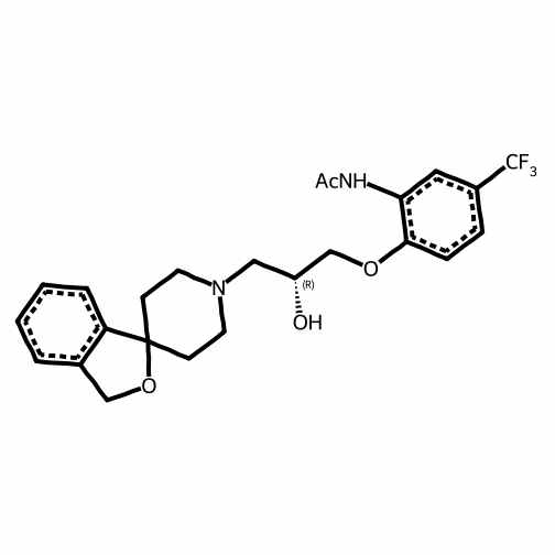 CC(=O)Nc1cc(C(F)(F)F)ccc1OC[C@H](O)CN1CCC2(CC1)OCc1ccccc12